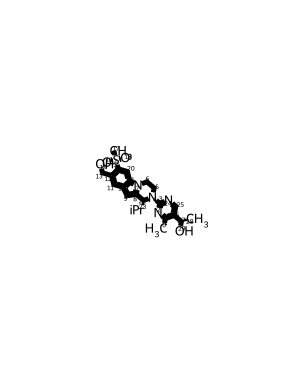 Cc1nc(N2CCn3c(cc4cc(CO)c(S(C)(=O)=O)cc43)[C@@H]2C(C)C)ncc1[C@@H](C)O